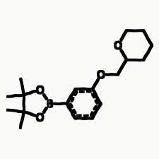 CC1(C)OB(c2cccc(OCC3CCCCO3)c2)OC1(C)C